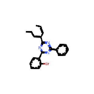 C/C=C\C(=C/CC)c1nc(-c2ccccc2)nc(-c2ccccc2Br)n1